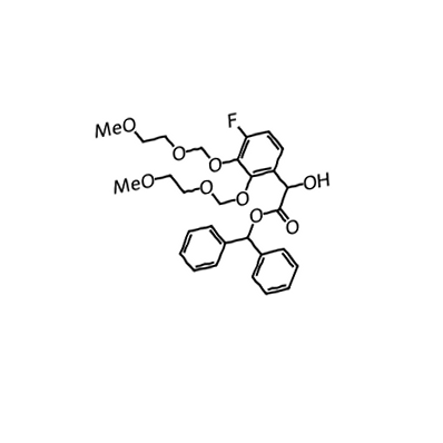 COCCOCOc1c(F)ccc(C(O)C(=O)OC(c2ccccc2)c2ccccc2)c1OCOCCOC